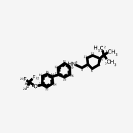 CC(C)(C)C1CCC(CNc2ccc(-c3ccc(OC(F)(F)F)cc3)cc2)CC1